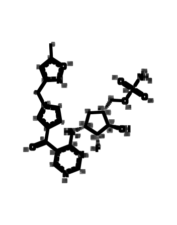 Cc1cc(Cn2ccc(C(=O)c3cncnc3N[C@@H]3C[C@H](COS(N)(=O)=O)[C@@H](O)[C@@H]3F)c2)no1